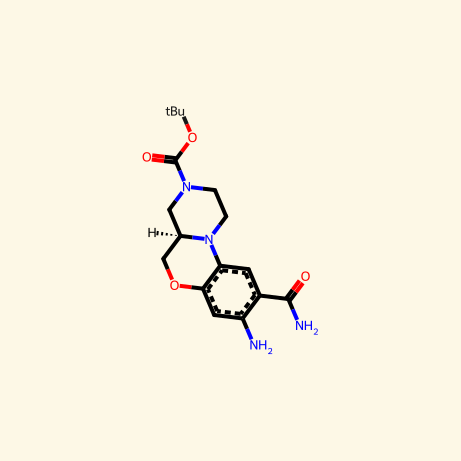 CC(C)(C)OC(=O)N1CCN2c3cc(C(N)=O)c(N)cc3OC[C@H]2C1